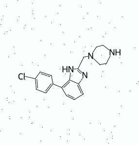 Clc1ccc(-c2cccc3nc(CN4CCNCC4)[nH]c23)cc1